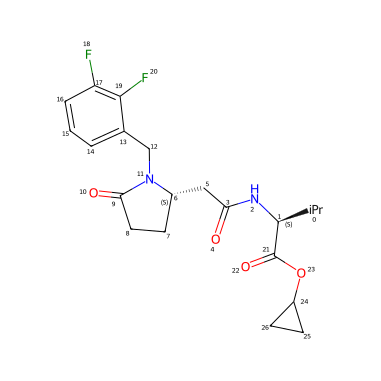 CC(C)[C@H](NC(=O)C[C@@H]1CCC(=O)N1Cc1cccc(F)c1F)C(=O)OC1CC1